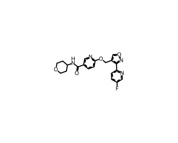 O=C(NC1CCOCC1)c1ccc(OCc2conc2-c2ccc(F)cn2)nc1